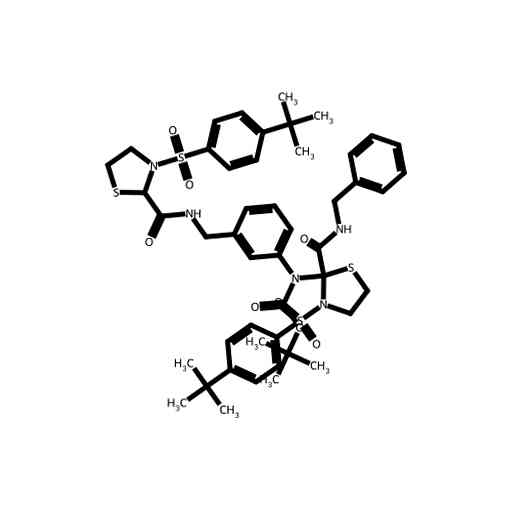 CC(C)(C)OC(=O)N(c1cccc(CNC(=O)C2SCCN2S(=O)(=O)c2ccc(C(C)(C)C)cc2)c1)C1(C(=O)NCc2ccccc2)SCCN1S(=O)(=O)c1ccc(C(C)(C)C)cc1